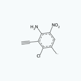 C#Cc1c(N)c([N+](=O)[O-])cc([CH2])c1Cl